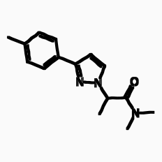 Cc1ccc(-c2ccn(C(C)C(=O)N(C)C)n2)cc1